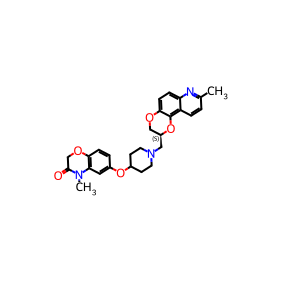 Cc1ccc2c3c(ccc2n1)OC[C@H](CN1CCC(Oc2ccc4c(c2)N(C)C(=O)CO4)CC1)O3